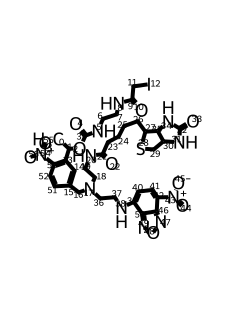 CC(OC(=O)NCCNC(=O)CI)c1cc(CN(CCNC(=O)CCCCC2SCC3NC(=O)NC32)CCNc2ccc([N+](=O)[O-])c3nonc23)ccc1[N+](=O)[O-]